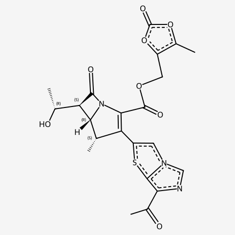 CC(=O)c1ncn2cc(C3=C(C(=O)OCc4oc(=O)oc4C)N4C(=O)[C@H]([C@@H](C)O)[C@H]4[C@H]3C)sc12